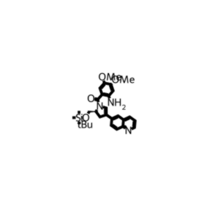 COc1cc(N)c(C(=O)N2C=C(c3ccc4ncccc4c3)C[C@H]2CO[Si](C)(C)C(C)(C)C)cc1OC